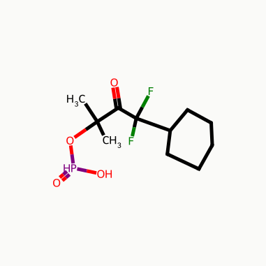 CC(C)(O[PH](=O)O)C(=O)C(F)(F)C1CCCCC1